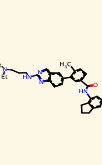 CCN(CC)CCCNc1ncc2cc(-c3cc(C(=O)Nc4cccc5c4CCC5)ccc3C)ccc2n1